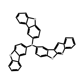 c1ccc2nc3oc4ccc(N(c5ccc6oc7ccccc7c6c5)c5ccc6oc7ccccc7c6c5)cc4c3cc2c1